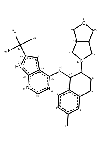 Cc1ccc2c(c1)CCC(N1CC3COCC3C1)C2Nc1ncnc2[nH]c(C(F)(F)F)cc12